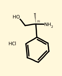 C[C@@](N)(CO)c1ccccc1.Cl